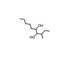 CCCCCC(O)C(O)C(C)CC